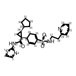 O=C(Nc1nccs1)[C@]1(C2C=CC(S(=O)(=O)NCCc3ccccn3)=CC2)C[C@H]1C1CCCC1